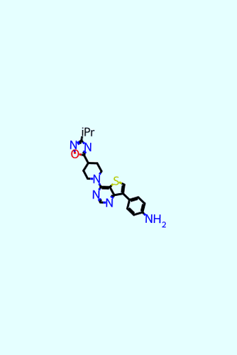 CC(C)c1noc(C2CCN(c3ncnc4c(-c5ccc(N)cc5)csc34)CC2)n1